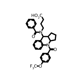 O=C(O)CCCN(C(=O)c1ccccc1)C1c2ccccc2N(C(=O)c2ccc(OC(F)(F)F)cc2)C2CCCC12